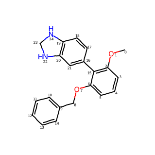 COc1cccc(OCc2ccccc2)c1-c1ccc2c(c1)NCN2